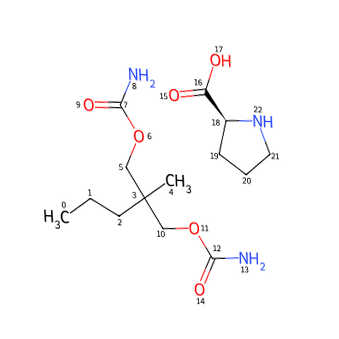 CCCC(C)(COC(N)=O)COC(N)=O.O=C(O)[C@@H]1CCCN1